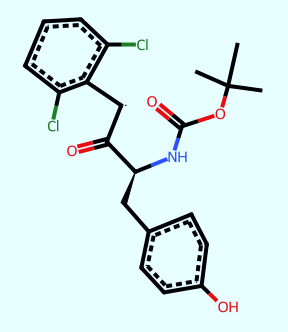 CC(C)(C)OC(=O)N[C@@H](Cc1ccc(O)cc1)C(=O)[CH]c1c(Cl)cccc1Cl